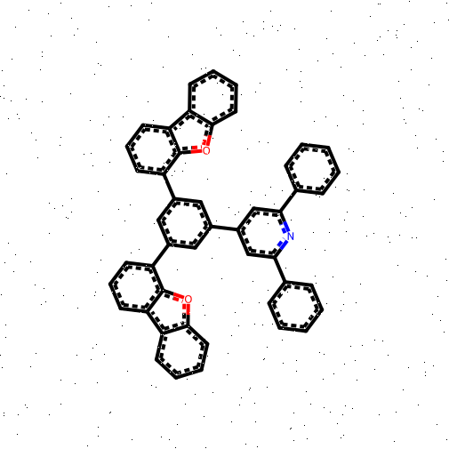 c1ccc(-c2cc(-c3cc(-c4cccc5c4oc4ccccc45)cc(-c4cccc5c4oc4ccccc45)c3)cc(-c3ccccc3)n2)cc1